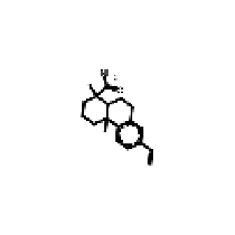 C=Cc1ccc2c(c1)CCC1C(C)(C(N)=O)CCCC21C